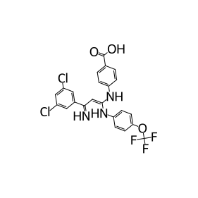 N=C(/C=C(\Nc1ccc(OC(F)(F)F)cc1)Nc1ccc(C(=O)O)cc1)c1cc(Cl)cc(Cl)c1